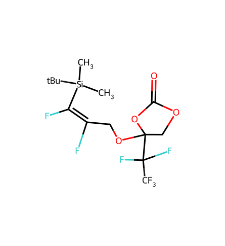 CC(C)(C)[Si](C)(C)C(F)=C(F)COC1(C(F)(F)C(F)(F)F)COC(=O)O1